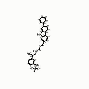 CS(=O)(=O)Nc1cccc(C(O)CNCCOc2ccc3c(c2)[nH]c2cc(-c4ccccc4)ccc23)c1